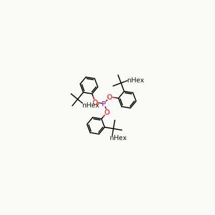 CCCCCCC(C)(C)c1ccccc1OP(Oc1ccccc1C(C)(C)CCCCCC)Oc1ccccc1C(C)(C)CCCCCC